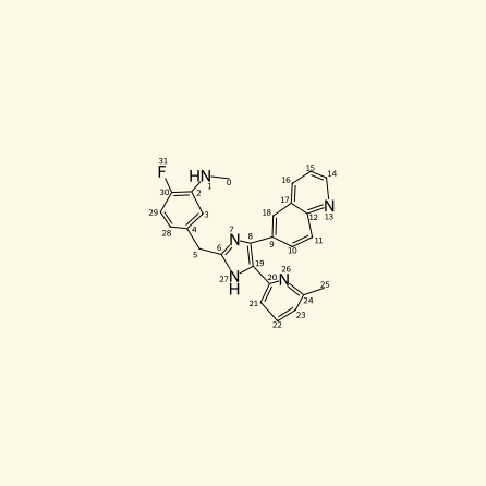 CNc1cc(Cc2nc(-c3ccc4ncccc4c3)c(-c3cccc(C)n3)[nH]2)ccc1F